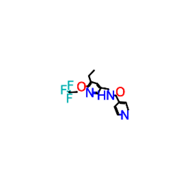 CCc1cc(CNC(=O)c2ccncc2)cnc1OCC(F)(F)F